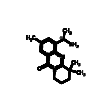 Cc1cc([C@@H](C)N)c2nc3n(c(=O)c2c1)CCCC3(C)C